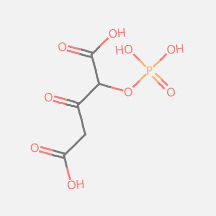 O=C(O)CC(=O)C(OP(=O)(O)O)C(=O)O